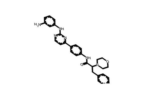 Nc1cccc(Nc2nccc(-c3ccc(NC(=O)C(Cc4ccccc4)N4CCOCC4)cc3)n2)c1